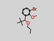 CCCO[C@H](c1cccc(Br)c1OC)C(C)(C)C